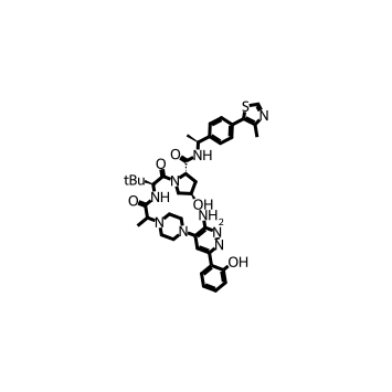 Cc1ncsc1-c1ccc([C@H](C)NC(=O)[C@@H]2C[C@@H](O)CN2C(=O)[C@@H](NC(=O)C(C)N2CCN(c3cc(-c4ccccc4O)nnc3N)CC2)C(C)(C)C)cc1